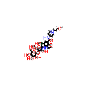 COCCCN1CCC(NC(=O)c2cc(Cl)c(NC3(CO)O[C@H](CO)[C@@H](O[C@@H]4O[C@H](CO)[C@H](O)[C@H](O)[C@H]4O)[C@@H]3O)c3c2OCC3)CC1